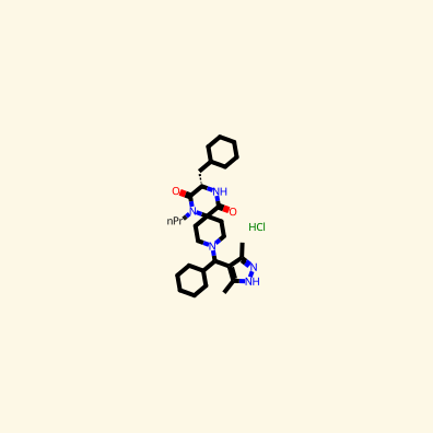 CCCN1C(=O)[C@H](CC2CCCCC2)NC(=O)C12CCN(C(c1c(C)n[nH]c1C)C1CCCCC1)CC2.Cl